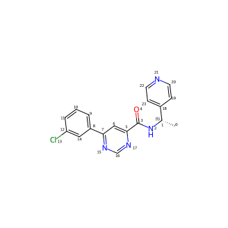 C[C@H](NC(=O)c1cc(-c2cccc(Cl)c2)ncn1)c1ccncc1